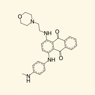 CNc1ccc(Nc2ccc(NCCN3CCOCC3)c3c2C(=O)c2ccccc2C3=O)cc1